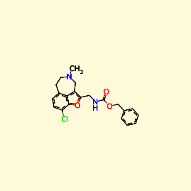 CN1CCc2ccc(Cl)c3oc(CNC(=O)OCc4ccccc4)c(c23)C1